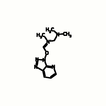 CN(C)C[N+](C)=COn1nnc2cccnc21